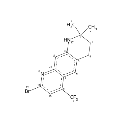 CC1(C)CCc2cc3c(C(F)(F)F)cc(Br)nc3cc2N1